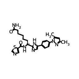 Cc1cc(C)n(-c2ccc(-c3cnc([C@H](CCCCCC(N)=O)NC(=O)c4cncs4)[nH]3)cc2)n1